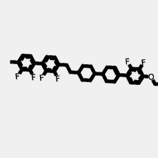 CCOc1ccc(C2=CCC(C3CCC(CCc4ccc(-c5ccc(C)c(F)c5F)c(F)c4F)CC3)CC2)c(F)c1F